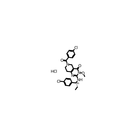 CC[C@@H](Nc1nc2c(c(=O)n1OC)CN(C(=O)c1ccc(Cl)cc1)CC2)c1ccc(Cl)cc1.Cl